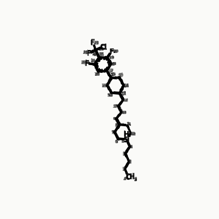 CCCCC[SiH]1CCC(CCCCC2CCC(c3cc(F)c(C(F)(F)Cl)c(F)c3)CC2)CC1